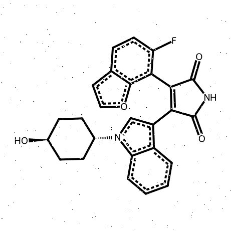 O=C1NC(=O)C(c2c(F)ccc3ccoc23)=C1c1cn([C@H]2CC[C@H](O)CC2)c2ccccc12